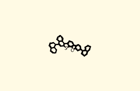 C1=CC(C2=CC3Sc4c(ccc5c4oc4cc(-c6cccc7ccccc67)ccc45)C3c3ccccc32)C2CCC=CC2=C1